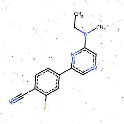 CCN(C)c1cncc(-c2ccc(C#N)c(F)c2)n1